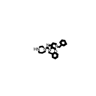 O=c1c2c(ccn1Cc1ccccc1)nc(N1CCCNCC1)n2Cc1ccccc1